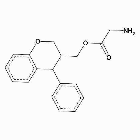 NCC(=O)OCC1COc2ccccc2C1c1ccccc1